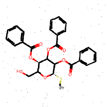 CC(C)S[C@@H]1OC(CO)[C@@H](OC(=O)c2ccccc2)C(OC(=O)c2ccccc2)C1OC(=O)c1ccccc1